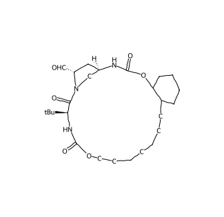 CC(C)(C)[C@@H]1NC(=O)OCCCCCCCC2CCCCC2OC(=O)N[C@@H]2C[C@@H](C=O)N(C2)C1=O